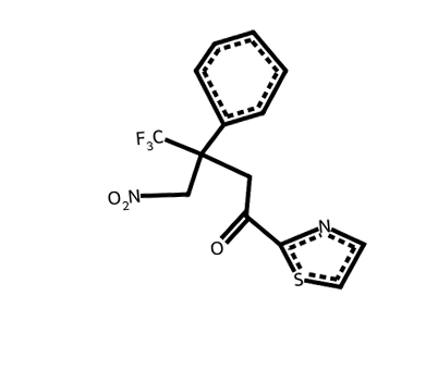 O=C(CC(C[N+](=O)[O-])(c1ccccc1)C(F)(F)F)c1nccs1